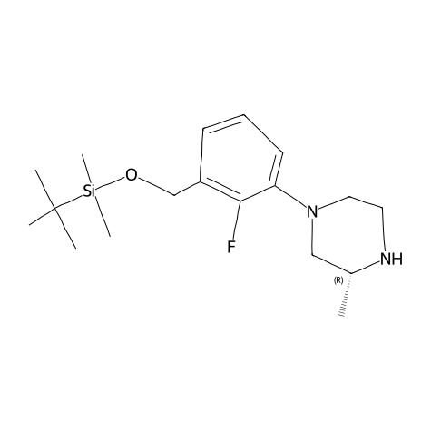 C[C@@H]1CN(c2cccc(CO[Si](C)(C)C(C)(C)C)c2F)CCN1